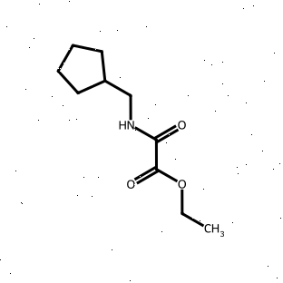 CCOC(=O)C(=O)NCC1CCCC1